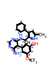 Cc1cc(-c2ccccc2)c([C@H](C)Nc2ncnc(N)c2-c2cc(O)cc(OC(F)(F)F)c2)[nH]1